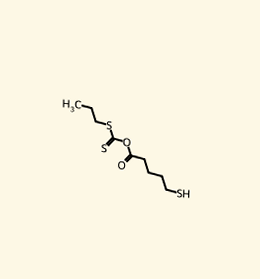 CCCSC(=S)OC(=O)CCCCS